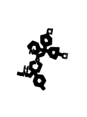 CCNCC1(c2ccc(C)cc2)CCN(CCC(c2ccc(Cl)cc2)(c2ccc(Cl)cc2)c2cccnc2)CC1